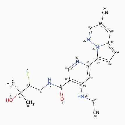 CC(C)(O)C(F)CNC(=O)c1cnc(-c2ccc3cc(C#N)cnn23)cc1NCC#N